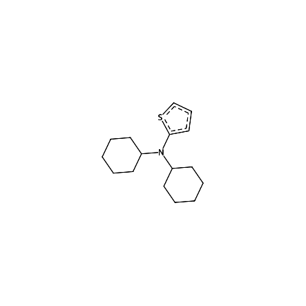 c1csc(N(C2CCCCC2)C2CCCCC2)c1